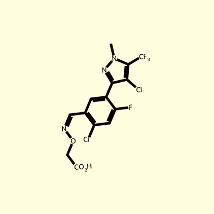 Cn1nc(-c2cc(/C=N\OCC(=O)O)c(Cl)cc2F)c(Cl)c1C(F)(F)F